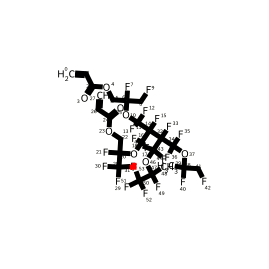 C=CC(=O)OCC(F)(CF)OC(F)(F)C(F)(C(F)(F)OC(F)(COC(=O)C=C)C(F)(F)F)C(F)(C(F)(F)OC(C)(F)CF)C(F)(F)OC(C)(F)C(F)(F)F